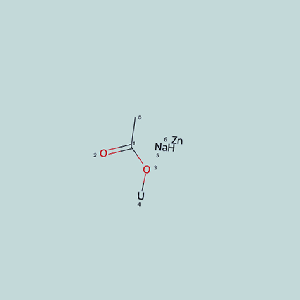 CC(=O)[O][U].[NaH].[Zn]